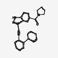 O=C(c1ccc2[nH]nc(C#Cc3ccccc3-c3ccccc3)c2c1)N1CCCC1